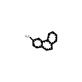 Cc1ccc2ccc3ccccc3c2c1